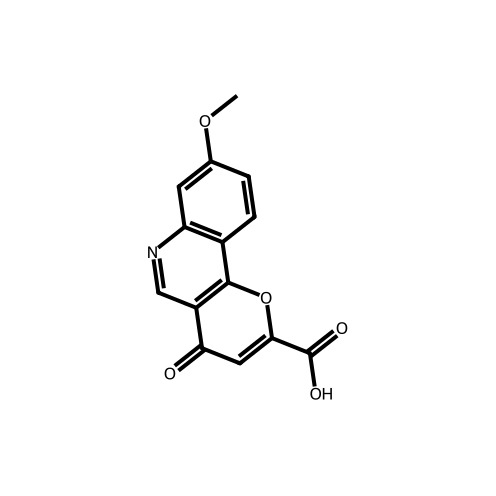 COc1ccc2c(c1)ncc1c(=O)cc(C(=O)O)oc12